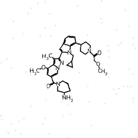 COCC(=O)N1CCC(c2cccc3cc(-c4nn5cc(C(=O)N6CCCC(N)C6)cc(OC)c5c4C)n(CC4CC4)c23)CC1